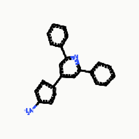 Nc1ccc(-c2cc(-c3ccccc3)nc(-c3ccccc3)c2)cc1